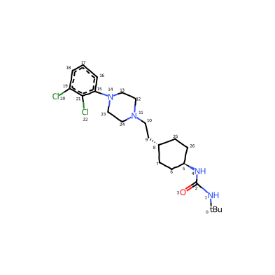 CC(C)(C)NC(=O)N[C@H]1CC[C@H](CCN2CCN(c3cccc(Cl)c3Cl)CC2)CC1